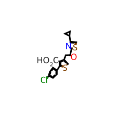 O=C(Cc1csc(-c2ccc(Cl)cc2)c1C(=O)O)c1nc(C2CC2)cs1